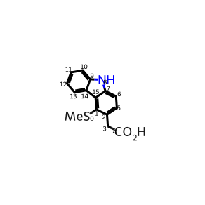 CSc1c(CC(=O)O)ccc2[nH]c3ccccc3c12